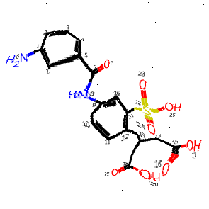 Nc1cccc(C(=O)Nc2ccc(C(CC(=O)O)C(=O)O)c(S(=O)(=O)O)c2)c1